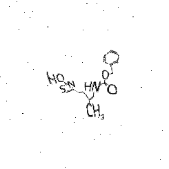 CC(CCc1csc(O)n1)CNC(=O)OCc1ccccc1